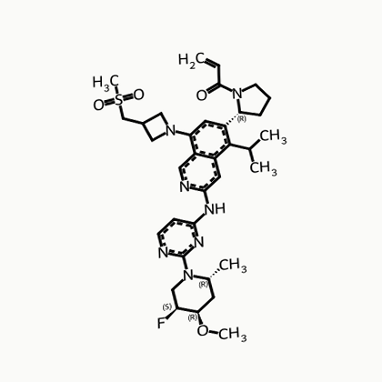 C=CC(=O)N1CCC[C@@H]1c1cc(N2CC(CS(C)(=O)=O)C2)c2cnc(Nc3ccnc(N4C[C@H](F)[C@H](OC)C[C@H]4C)n3)cc2c1C(C)C